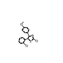 COc1ccc(-c2nc(Cl)sc2-c2ccccc2Cl)cc1